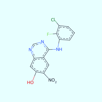 O=[N+]([O-])c1cc2c(Nc3cccc(Cl)c3F)ncnc2cc1O